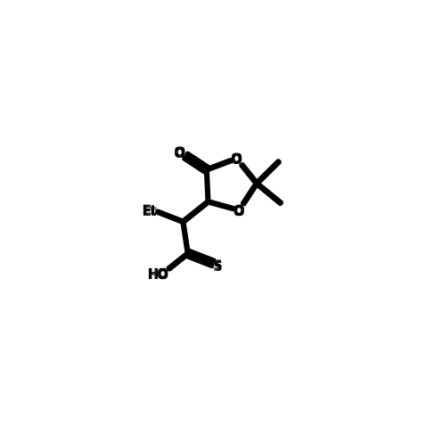 CCC(C(O)=S)C1OC(C)(C)OC1=O